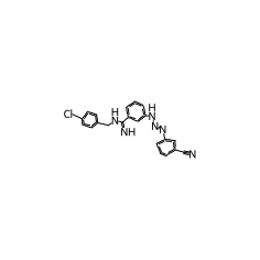 N#Cc1cccc(/N=N/Nc2cccc(C(=N)NCc3ccc(Cl)cc3)c2)c1